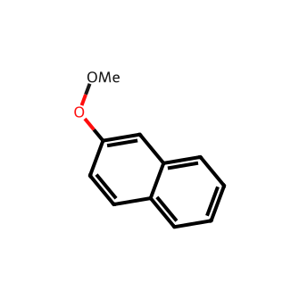 COOc1ccc2ccccc2c1